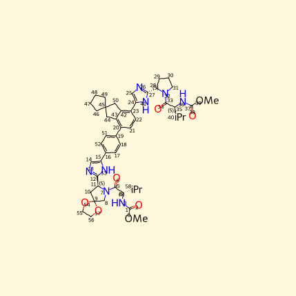 COC(=O)N[C@H](C(=O)N1CC2(C[C@H]1c1ncc(-c3ccc(-c4ccc(-c5cnc([C@@H]6CCCN6C(=O)[C@@H](NC(=O)OC)C(C)C)[nH]5)c5c4CC4(CCCC4)C5)cc3)[nH]1)OCCO2)C(C)C